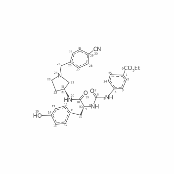 CCOC(=O)c1ccc(NC(=O)N[C@@H](Cc2ccc(O)cc2)C(=O)N[C@H]2CCN(Cc3ccc(C#N)cc3)C2)cc1